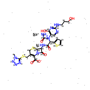 Cn1nnnc1SCC1=C(C(=O)[O-])N2C(=O)C(NC(=O)C(c3cccs3)N(C(N)=O)c3cnc(NCCCO)nc3O)[C@@H]2SC1.[Na+]